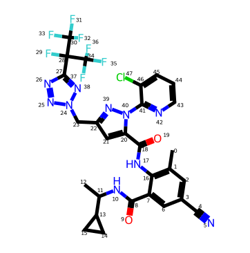 Cc1cc(C#N)cc(C(=O)NC(C)C2CC2)c1NC(=O)c1cc(Cn2nnc(C(F)(C(F)(F)F)C(F)(F)F)n2)nn1-c1ncccc1Cl